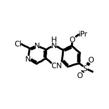 CC(C)Oc1cc(S(C)(=O)=O)ccc1Nc1nc(Cl)ncc1C#N